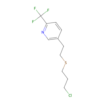 FC(F)(F)c1ccc(CCSCCCCl)cn1